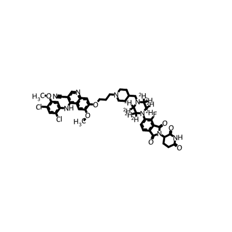 [2H]C1([2H])N(CC2CCN(CCCOc3cc4ncc(C#N)c(Nc5cc(OC)c(Cl)cc5Cl)c4cc3OC)CC2)C([2H])([2H])C([2H])([2H])N(c2ccc3c(c2F)C(=O)N(C2CCC(=O)NC2=O)C3=O)C1([2H])[2H]